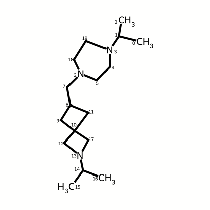 CC(C)N1CCN(CC2CC3(C2)CN(C(C)C)C3)CC1